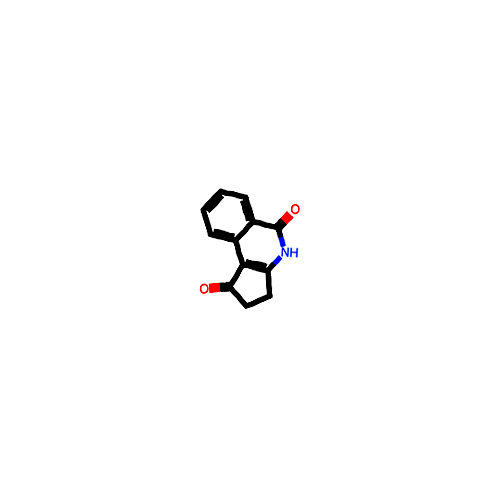 O=C1CCc2[nH]c(=O)c3ccccc3c21